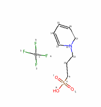 F[B-](F)(F)F.O=S(=O)(O)CCCN1C=CC=CC1